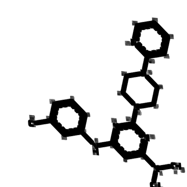 CN(C)c1cc(Nc2cccc(Cl)c2)nc(N2CCN(c3ccccn3)CC2)n1